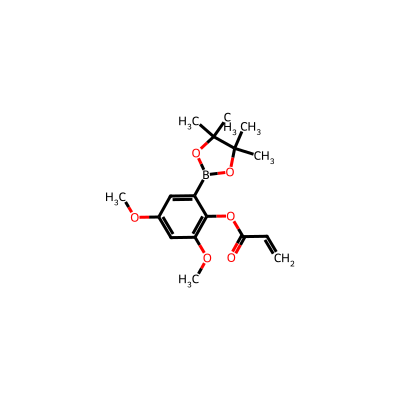 C=CC(=O)Oc1c(OC)cc(OC)cc1B1OC(C)(C)C(C)(C)O1